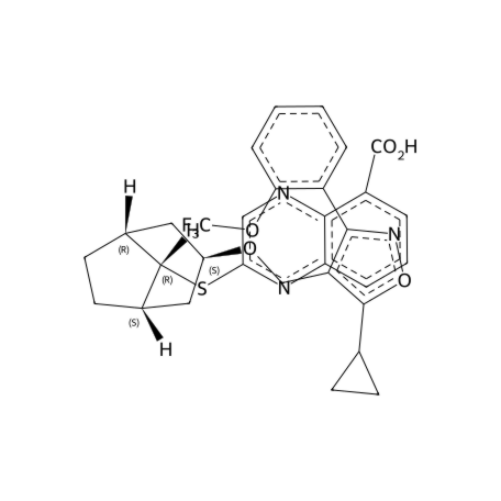 O=C(O)c1cccc2nc(S[C@H]3[C@@H]4CC[C@H]3C[C@H](OCc3c(-c5ccccc5OC(F)(F)F)noc3C3CC3)C4)cnc12